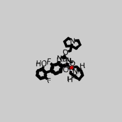 CC(C)(C)OC(=O)N1[C@@H]2CC[C@H]1CN(c1nc(OCC34CCCN3CCC4)nc3c(F)c(-c4c(O)cccc4F)ccc13)C2